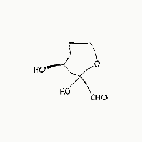 O=CC1(O)OCC[C@@H]1O